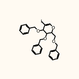 IC1=COC(COCc2ccccc2)C(OCc2ccccc2)C1OCc1ccccc1